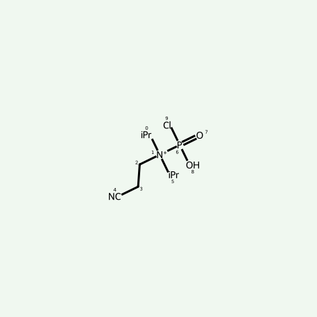 CC(C)[N+](CCC#N)(C(C)C)P(=O)(O)Cl